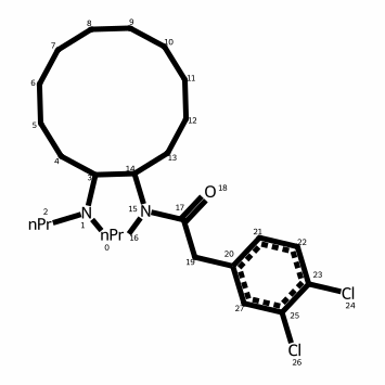 CCCN(CCC)C1CCCCCCCCCCC1N(C)C(=O)Cc1ccc(Cl)c(Cl)c1